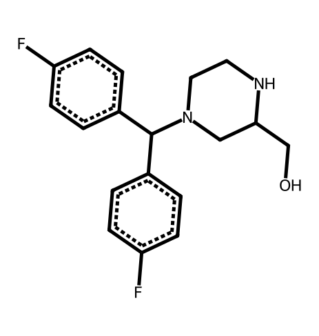 OCC1CN(C(c2ccc(F)cc2)c2ccc(F)cc2)CCN1